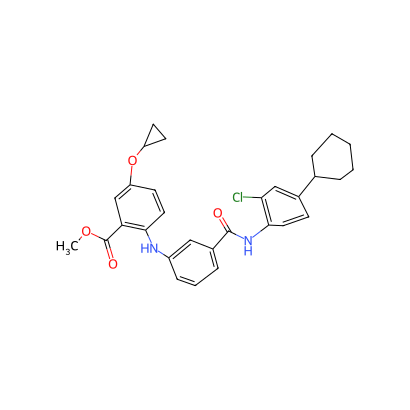 COC(=O)c1cc(OC2CC2)ccc1Nc1cccc(C(=O)Nc2ccc(C3CCCCC3)cc2Cl)c1